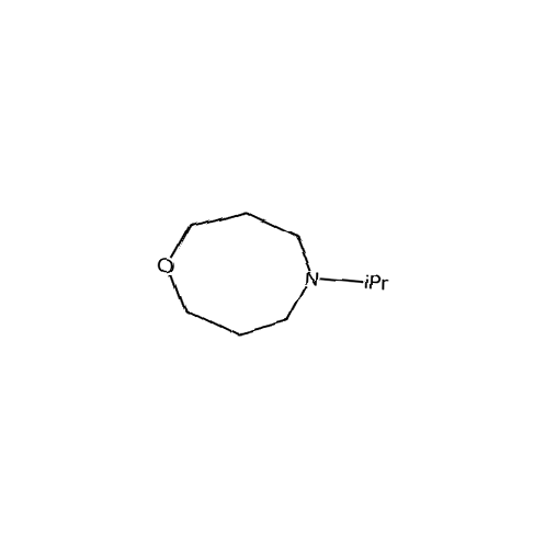 CC(C)N1CCCOCCC1